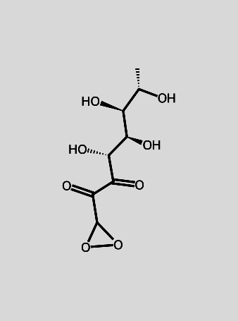 C[C@H](O)[C@H](O)[C@@H](O)[C@@H](O)C(=O)C(=O)C1OO1